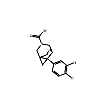 O=C(O)N1CC[C@]2(c3ccc(Cl)c(Cl)c3)CC2(CO)C1